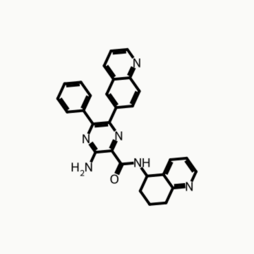 Nc1nc(-c2ccccc2)c(-c2ccc3ncccc3c2)nc1C(=O)NC1CCCc2ncccc21